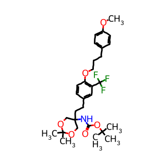 COc1ccc(CCCOc2ccc(CCC3(NC(=O)OC(C)(C)C)COC(C)(C)OC3)cc2C(F)(F)F)cc1